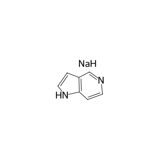 [NaH].c1cc2[nH]ccc2cn1